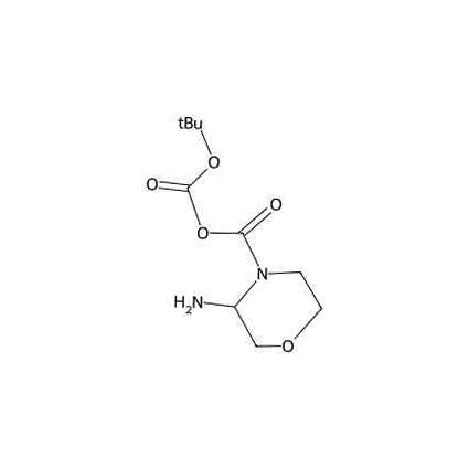 CC(C)(C)OC(=O)OC(=O)N1CCOCC1N